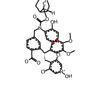 COc1ccc([C@H](Cc2c(Cl)c[n+](O)cc2Cl)c2cc(CN(C(=O)O[C@H]3CN4CCC3CC4)c3ccccc3O)ccc2C(=O)[O-])cc1OC